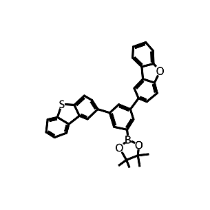 CC1(C)OB(c2cc(-c3ccc4oc5ccccc5c4c3)cc(-c3ccc4sc5ccccc5c4c3)c2)OC1(C)C